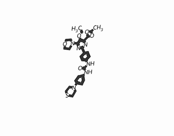 CCOc1c(C2OC(C)O2)nc(-c2ccc(NC(=O)Nc3ccc(N4CCSCC4)cc3)cc2)nc1N1CCOCC1